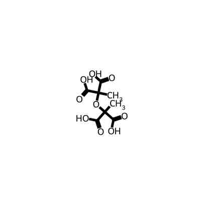 CC(OC(C)(C(=O)O)C(=O)O)(C(=O)O)C(=O)O